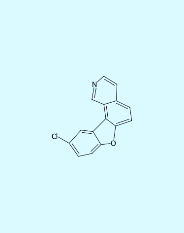 Clc1ccc2oc3ccc4ccncc4c3c2c1